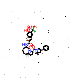 CC1(C)C[C@@H](c2ccccc2)CN1C(=O)[C@@H]1CC[C@@H]2CCCC[C@H](NC(=O)c3cc4cc(C(F)(F)P(=O)(O)O)ccc4s3)C(=O)N21